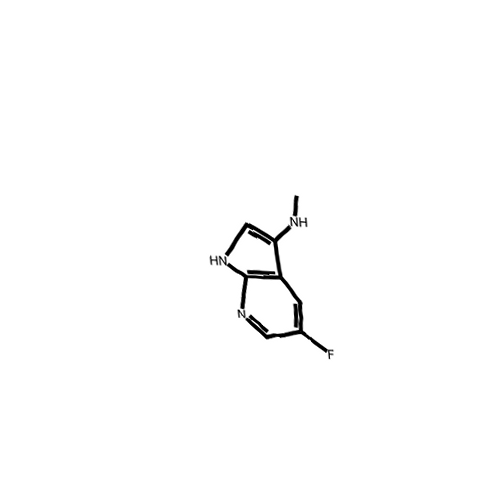 CNc1c[nH]c2ncc(F)cc12